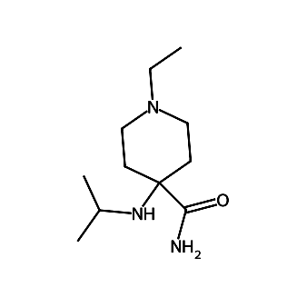 CCN1CCC(NC(C)C)(C(N)=O)CC1